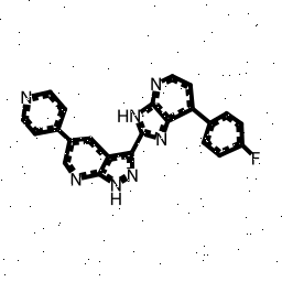 Fc1ccc(-c2ccnc3[nH]c(-c4n[nH]c5ncc(-c6ccncc6)cc45)nc23)cc1